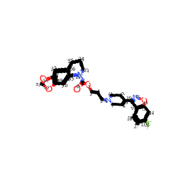 O=C(OCCCN1CCC(c2noc3cc(F)ccc23)CC1)N1CCCc2cc3c(cc21)OCO3